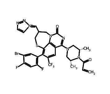 C=CC(=O)N1[C@H](C)CN(c2nc(=O)n3c4c(c(-c5cc(Br)c(F)cc5F)c(C(F)(F)F)cc24)SCC(/C=[N+]2\C=CN=N2)C3)C[C@@H]1C